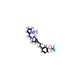 FC(F)(F)Oc1cccc([CH]CC2C3CN(Cc4ccc[nH]4)CC23)c1